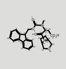 CN(C(=O)OCC1c2ccccc2-c2ccccc21)[C@@H](CC(=O)O)C(=O)N1C2CCC1COC2